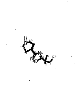 CC(C)(CF)c1nc(C2CCNCC2)no1